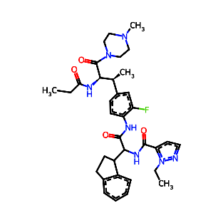 CCC(=O)N[C@@H](C(=O)N1CCN(C)CC1)[C@@H](C)c1ccc(NC(=O)C(NC(=O)c2ccnn2CC)C2CCc3ccccc32)c(F)c1